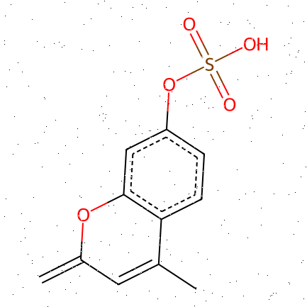 C=C1C=C(C)c2ccc(OS(=O)(=O)O)cc2O1